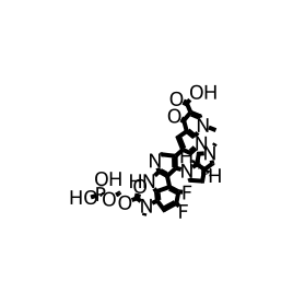 CN1C[C@@H]2CCN(c3c(-c4cnc5c(c4)c(=O)c(C(=O)O)cn5C)cnc4[nH]c5c(N(C)C(=O)OCOP(O)O)cc(F)c(F)c5c34)[C@@H]2C1